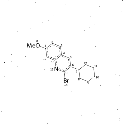 COc1ccc2cc(C3CCCCC3)c(Br)nc2c1